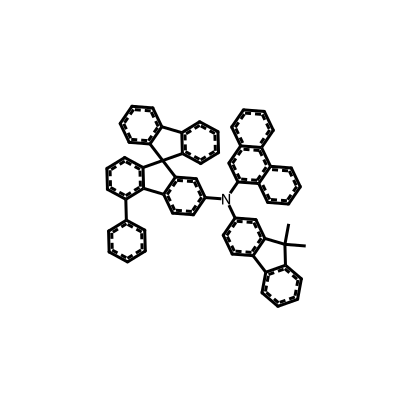 CC1(C)c2ccccc2-c2ccc(N(c3ccc4c(c3)C3(c5ccccc5-c5ccccc53)c3cccc(-c5ccccc5)c3-4)c3cc4ccccc4c4ccccc34)cc21